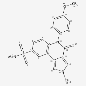 CNS(=O)(=O)c1ccc2c(c1)c1nn(C)cc1c(=O)n2-c1ccc(OC(F)(F)F)cc1